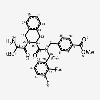 COC(=O)c1ccc(CN(C(=O)[C@@H]2Cc3ccccc3CN2C(=O)C(N)C(C)(C)C)[C@H](C)c2cccc(F)c2F)cc1